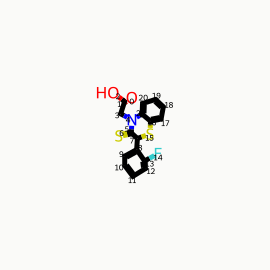 O=C(O)CN1C(=S)C(c2ccccc2F)Sc2ccccc21